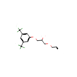 C=CCOCC(O)COc1cc(C(F)(F)F)cc(C(F)(F)F)c1